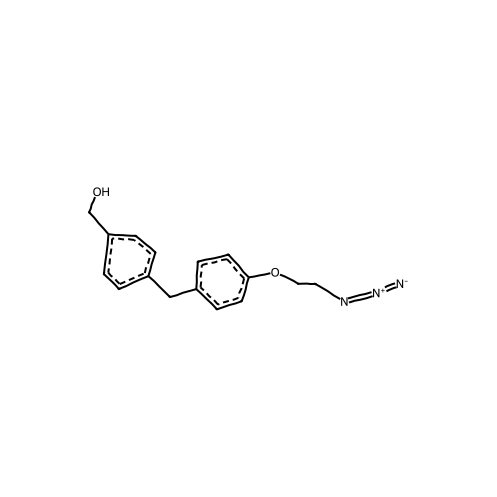 [N-]=[N+]=NCCOc1ccc(Cc2ccc(CO)cc2)cc1